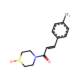 O=C(/C=C/c1ccc(C(F)(F)F)cc1)N1CC[S+]([O-])CC1